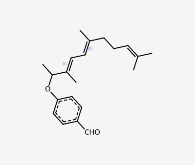 CC(C)=CCC/C(C)=C/C=C(\C)C(C)Oc1ccc(C=O)cc1